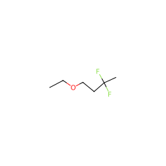 CCOCCC(C)(F)F